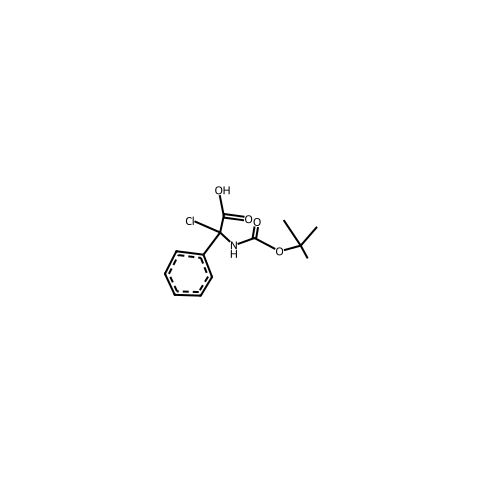 CC(C)(C)OC(=O)NC(Cl)(C(=O)O)c1ccccc1